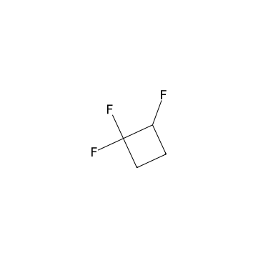 FC1CCC1(F)F